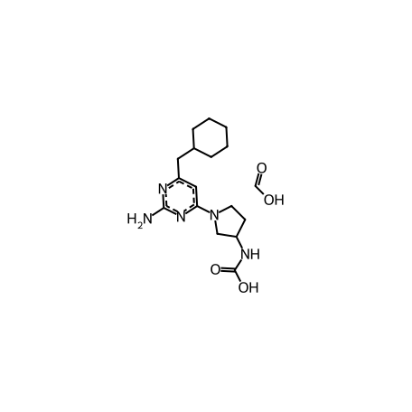 Nc1nc(CC2CCCCC2)cc(N2CCC(NC(=O)O)C2)n1.O=CO